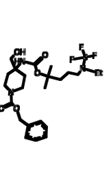 CCN(CCCC(C)(C)OC(=O)NC1(CO)CCN(C(=O)OCc2ccccc2)CC1)S(F)(F)F